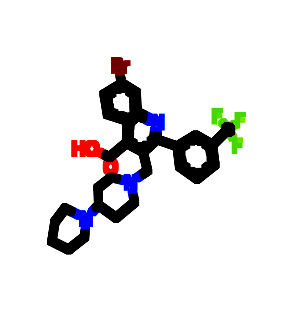 O=C(O)c1c(CN2CCC(N3CCCCC3)CC2)c(-c2cccc(C(F)(F)F)c2)nc2cc(Br)ccc12